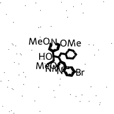 CNCCC(O)(c1cc(OC)nc(OC)c1)C(CC1CCCCC1)c1cc2cc(Br)ccc2nc1OC